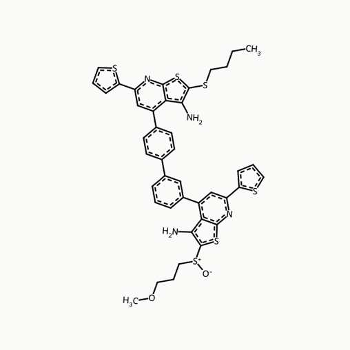 CCCCSc1sc2nc(-c3cccs3)cc(-c3ccc(-c4cccc(-c5cc(-c6cccs6)nc6sc([S+]([O-])CCCOC)c(N)c56)c4)cc3)c2c1N